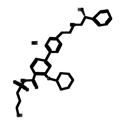 Cl.O=C(NS(=O)(=O)CCCO)c1ccc(-c2ccc(CCNC[C@H](O)c3ccccc3)cc2)cc1OC1CCCCC1